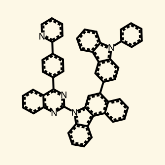 c1ccc(-n2c3ccccc3c3cc(-c4cc5c(c6ccccc46)c4ccccc4n5-c4nc(-c5ccc(-c6ccccn6)cc5)c5ccccc5n4)ccc32)cc1